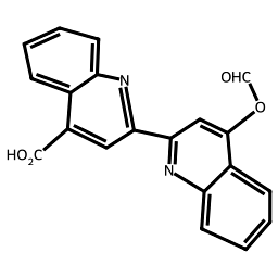 O=COc1cc(-c2cc(C(=O)O)c3ccccc3n2)nc2ccccc12